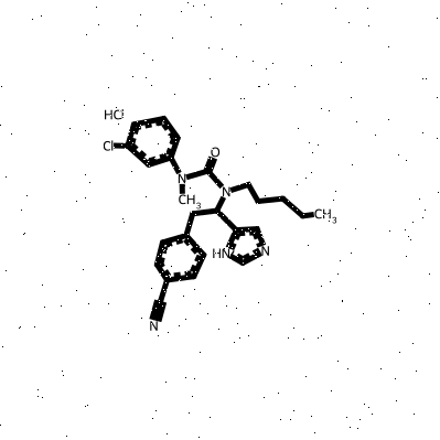 CCCCCN(C(=O)N(C)c1cccc(Cl)c1)C(Cc1ccc(C#N)cc1)c1cnc[nH]1.Cl